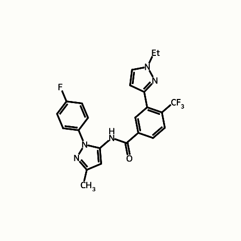 CCn1ccc(-c2cc(C(=O)Nc3cc(C)nn3-c3ccc(F)cc3)ccc2C(F)(F)F)n1